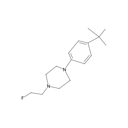 CC(C)(C)c1ccc(N2CCN(CCF)CC2)cc1